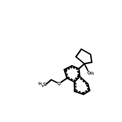 OC1(c2ccc(OC[SiH3])c3ccccc23)CCCC1